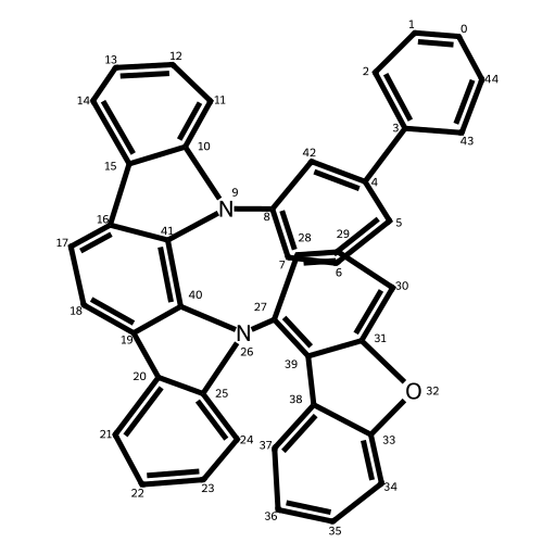 c1ccc(-c2cccc(-n3c4ccccc4c4ccc5c6ccccc6n(-c6cccc7oc8ccccc8c67)c5c43)c2)cc1